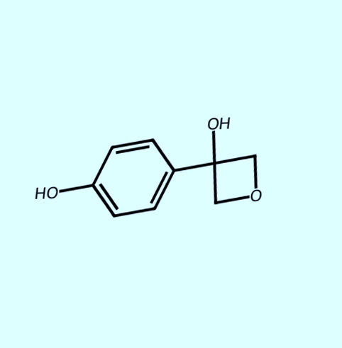 Oc1ccc(C2(O)COC2)cc1